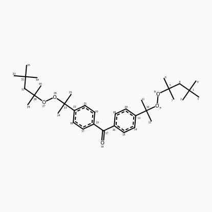 CC(C)(C)CC(C)(C)OOC(C)(C)c1ccc(C(=O)c2ccc(C(C)(C)OOC(C)(C)CC(C)(C)C)cc2)cc1